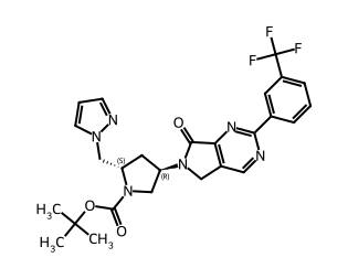 CC(C)(C)OC(=O)N1C[C@H](N2Cc3cnc(-c4cccc(C(F)(F)F)c4)nc3C2=O)C[C@H]1Cn1cccn1